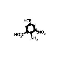 Cl.Nc1c(C(=O)O)cccc1[N+](=O)[O-]